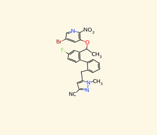 CC(Oc1cc(Br)cnc1[N+](=O)[O-])c1cc(F)ccc1-c1ccccc1Cc1cc(C#N)nn1C